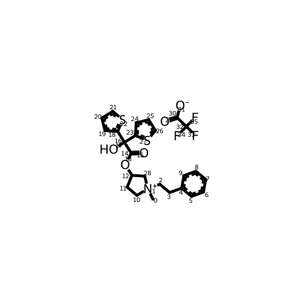 C[N+]1(CCc2ccccc2)CCC(OC(=O)C(O)(c2cccs2)c2cccs2)C1.O=C([O-])C(F)(F)F